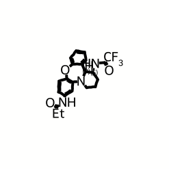 CCC(=O)Nc1ccc2c(c1)N1CCC[C@H](NC(=O)C(F)(F)F)[C@H]1c1ccccc1O2